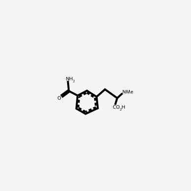 CNC(Cc1cccc(C(N)=O)c1)C(=O)O